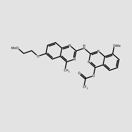 COCCOc1ccc2nc(Nc3nc(OC(=O)C(F)(F)F)c4cccc(OC)c4n3)nc(C)c2c1